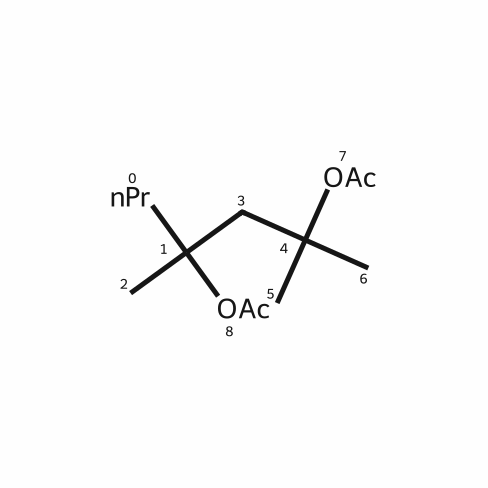 CCCC(C)(CC(C)(C)OC(C)=O)OC(C)=O